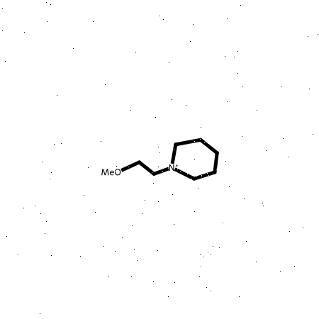 COCC[N+]1CCCCC1